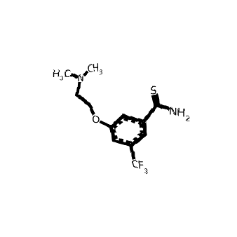 CN(C)CCOc1cc(C(N)=S)cc(C(F)(F)F)c1